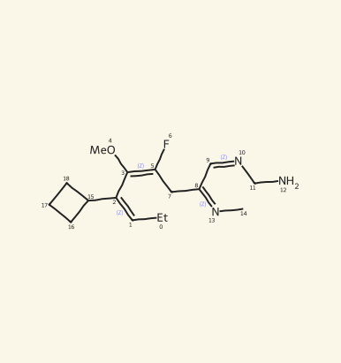 CC/C=C(\C(OC)=C(\F)CC(/C=N\CN)=N/C)C1CCC1